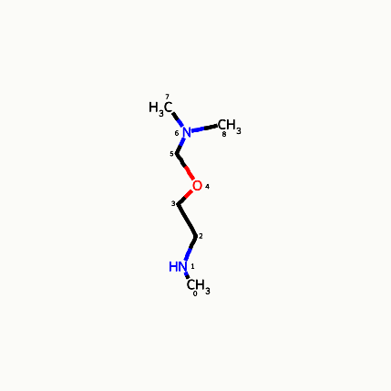 CNCCOCN(C)C